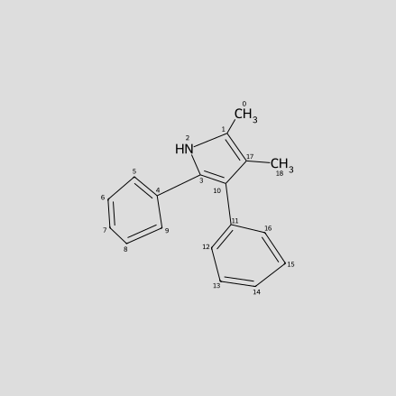 Cc1[nH]c(-c2ccccc2)c(-c2ccccc2)c1C